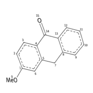 COc1ccc2c(c1)Cc1ccccc1C2=O